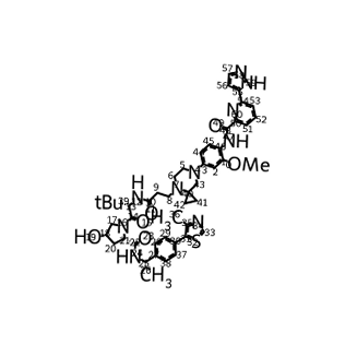 COc1cc(N2CCN(CCC(=O)N[C@H](C(=O)N3C[C@H](O)C[C@H]3C(=O)N[C@@H](C)c3ccc(-c4scnc4C)cc3)C(C)(C)C)C3(CC3)C2)ccc1NC(=O)c1cccc(-c2ccn[nH]2)n1